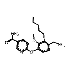 CCCCCc1c(CN)ccc(Oc2ccc(C(N)=O)cn2)c1OC